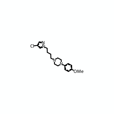 COc1ccc(N2CCN(CCCCn3cc(Cl)cn3)CC2)cc1